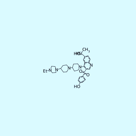 CCN1CCN(C2CCN(C3CCN(c4c(S(=O)(=O)c5ccc(O)cc5)cnc5ccc([SiH](C)O)cc45)CC3)CC2)CC1